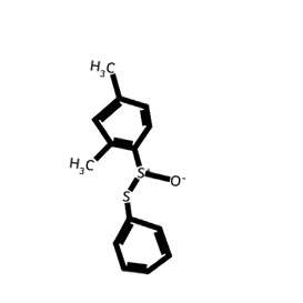 Cc1ccc([S+]([O-])Sc2ccccc2)c(C)c1